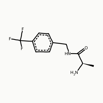 C[C@@H](N)C(=O)NCc1ccc(C(F)(F)F)cc1